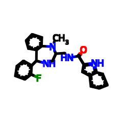 CN1c2ccccc2C(c2ccccc2F)NCC1CNC(=O)c1cc2ccccc2[nH]1